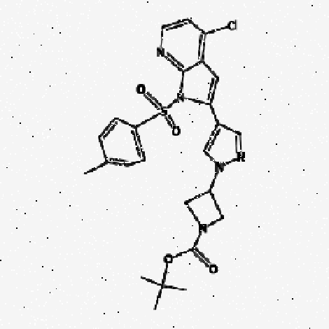 Cc1ccc(S(=O)(=O)n2c(-c3cnn(C4CN(C(=O)OC(C)(C)C)C4)c3)cc3c(Cl)ccnc32)cc1